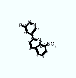 O=[N+]([O-])c1cccc2ccc(-c3cncc(F)c3)nc12